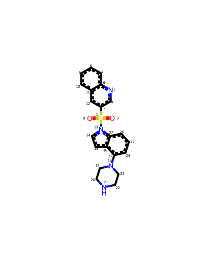 O=S(=O)(c1cnc2ccccc2c1)n1ccc2c(N3CCNCC3)cccc21